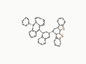 c1ccc(-c2c3ccccc3c(-c3cc(-c4cc5c6ccccc6sc5c5sc6ccccc6c45)cc4ccccc34)c3ccccc23)cc1